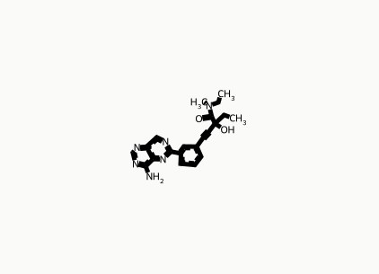 CCN(C)C(=O)C(O)(C#Cc1cccc(-c2ncc3ncnc(N)c3n2)c1)CC